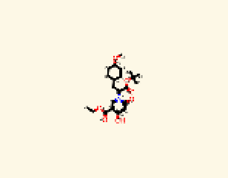 CCOC(=O)c1cn(C(CC2CCC(OC)CC2)C(=O)OC(C)(C)C)c(=O)cc1O